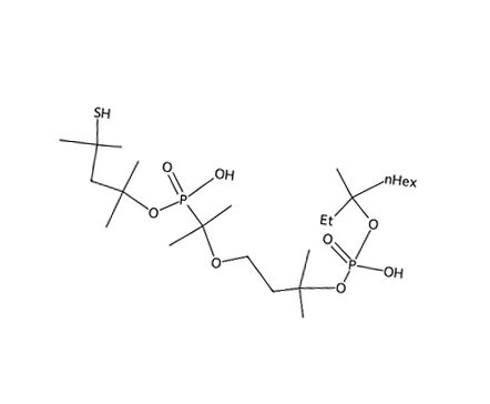 CCCCCCC(C)(CC)OP(=O)(O)OC(C)(C)CCOC(C)(C)P(=O)(O)OC(C)(C)CC(C)(C)S